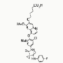 COc1cc2c(Oc3ccc(NC(=O)C4(C(=O)Nc5ccc(F)cc5)CC4)cc3Cl)ccnc2cc1OCCCCC(=O)O.[NaH]